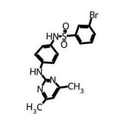 Cc1cc(C)nc(Nc2ccc(NS(=O)(=O)c3cccc(Br)c3)cc2)n1